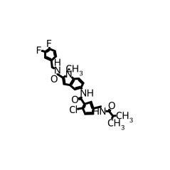 CC(C)C(=O)NCc1ccc(Cl)c(C(=O)Nc2ccc3c(c2)cc(C(=O)NCc2ccc(F)c(F)c2)n3C)c1